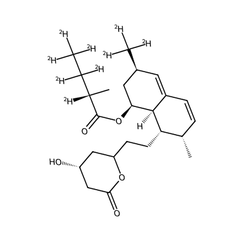 [2H]C([2H])([2H])[C@H]1C=C2C=C[C@H](C)[C@H](CCC3C[C@@H](O)CC(=O)O3)[C@H]2[C@@H](OC(=O)[C@@]([2H])(C)C([2H])([2H])C([2H])([2H])[2H])C1